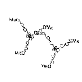 COCCOCCOCCOP(=O)(OCCOCCOCCOC)OCCOCCOCCOC.COCCOCCOCCOP(=O)(OCCOCCOCCOC)OCCOCCOCCOC